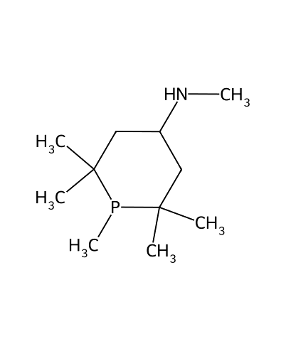 CNC1CC(C)(C)P(C)C(C)(C)C1